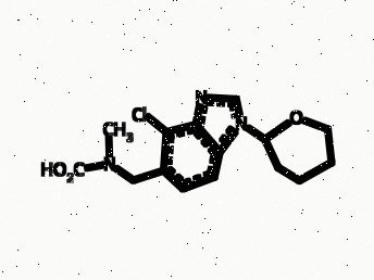 CN(Cc1ccc2c(ncn2C2CCCCO2)c1Cl)C(=O)O